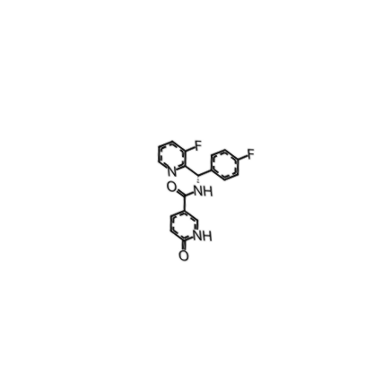 O=C(N[C@@H](c1ccc(F)cc1)c1ncccc1F)c1ccc(=O)[nH]c1